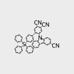 N#Cc1ccc2c(c1)c1ccccc1n2-c1cc(C#N)c(C#N)cc1-c1ccc([Si](c2ccccc2)(c2ccccc2)c2ccccc2)cc1